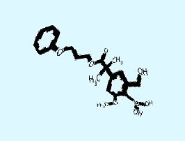 COc1cc(C(C)(C)C(=O)OCCCOc2ccccc2)cc(CO)c1B(O)O